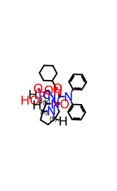 CN(CC1CCCCC1)C(=O)N1[C@H]2CC[C@@H]1[C@@H](P(=O)(O)O)N(C(=O)N(c1ccccc1)c1ccccc1)C2